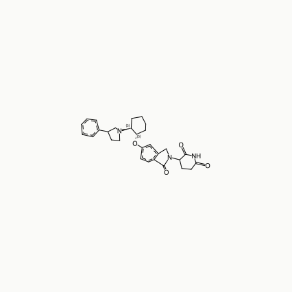 O=C1CCC(N2Cc3cc(O[C@H]4CCCC[C@@H]4N4CCC(c5ccccc5)C4)ccc3C2=O)C(=O)N1